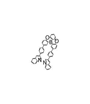 c1cc2c3c(c1)Oc1ccc(-c4ccc(-c5cnc6ccccc6c5)cc4)cc1B3c1cc(-c3ccc(-c4cnc5ccccc5c4)cc3)ccc1O2